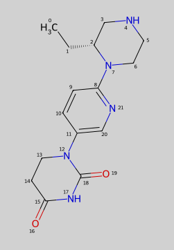 CC[C@@H]1CNCCN1c1ccc(N2CCC(=O)NC2=O)cn1